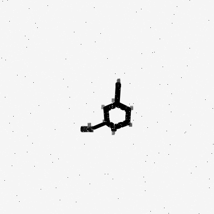 O=Cc1cc(=O)cco1